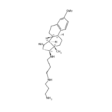 COc1ccc2c(c1)CC[C@@H]1[C@@H]2CC[C@]2(C)[C@@H](NCCCNCCCN)CC[C@@H]12.N